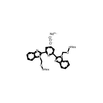 CCCCCCOCn1c(-c2cccc(-c3nc4ccccc4n3COCCCCCC)n2)nc2ccccc21.[Cl-].[Cl-].[Cl-].[Nd+3]